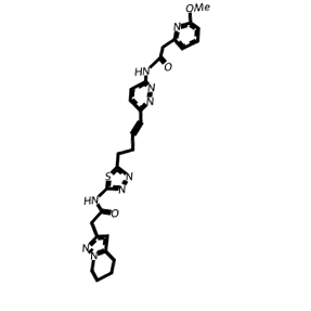 COc1cccc(CC(=O)Nc2ccc(C#CCCc3nnc(NC(=O)Cc4cc5n(n4)CCCC5)s3)nn2)n1